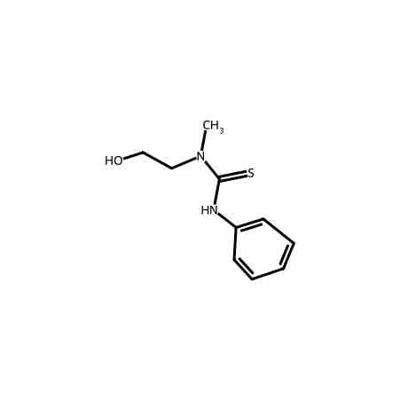 CN(CCO)C(=S)Nc1ccccc1